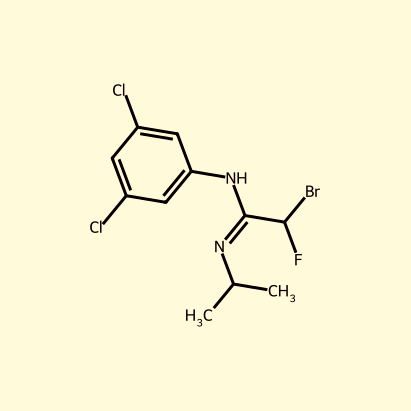 CC(C)N=C(Nc1cc(Cl)cc(Cl)c1)C(F)Br